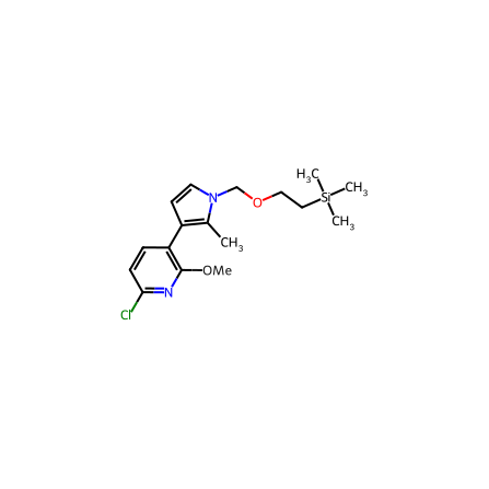 COc1nc(Cl)ccc1-c1ccn(COCC[Si](C)(C)C)c1C